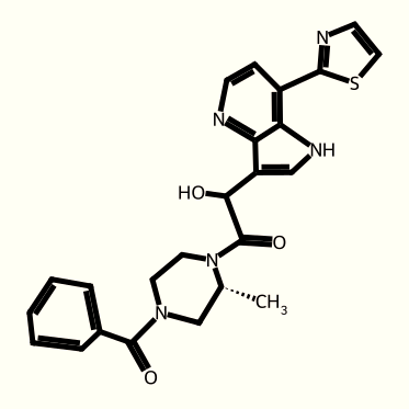 C[C@@H]1CN(C(=O)c2ccccc2)CCN1C(=O)C(O)c1c[nH]c2c(-c3nccs3)ccnc12